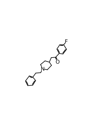 O=C(CC1CCN(CCc2ccccc2)CC1)c1ccc(F)cc1